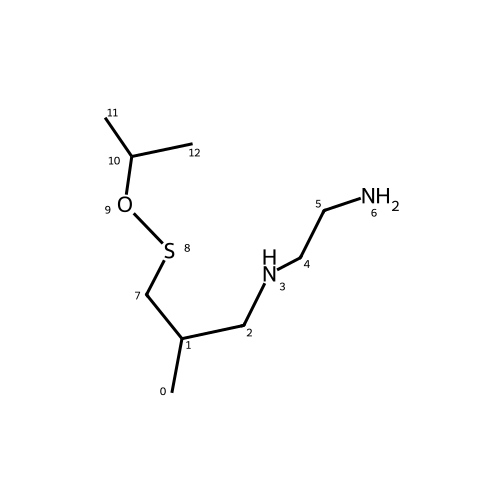 CC(CNCCN)CSOC(C)C